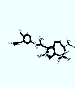 CC(C)[C@H]1CCc2c(cn(C)c2C(O)Nc2ccc(F)c(C#N)c2)S(=N)(=O)N1